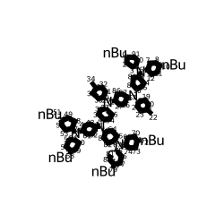 CCCCc1ccc(N(c2ccc(CCCC)cc2)c2ccc(N(c3ccc(C)cc3)c3ccc(N(c4ccc(C)cc4)c4ccc(N(c5ccc(N(c6ccc(CCCC)cc6)c6ccc(CCCC)cc6)cc5)c5ccc(N(c6ccc(CCCC)cc6)c6ccc(CCCC)cc6)cc5)cc4)cc3)cc2)cc1